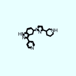 C1=CC(n2ccc(C3CCCNC3)n2)Cc2c(-c3ccncc3)n[nH]c21